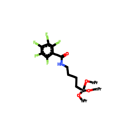 CCCO[Si](CCCCNC(=O)c1c(F)c(F)c(F)c(F)c1F)(OCCC)OCCC